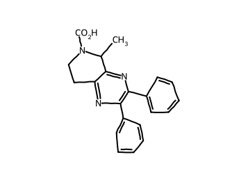 CC1c2nc(-c3ccccc3)c(-c3ccccc3)nc2CCN1C(=O)O